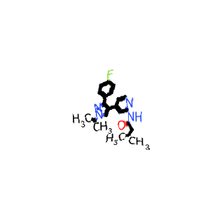 CC(C)CC(=O)Nc1cc(-c2cn(C(C)C)nc2-c2ccc(F)cc2)ccn1